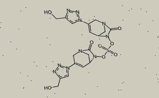 O=C1N2CC(n3cc(CO)nn3)=CC(C2)N1OS(=O)(=O)ON1C(=O)N2CC(n3cc(CO)nn3)=CC1C2